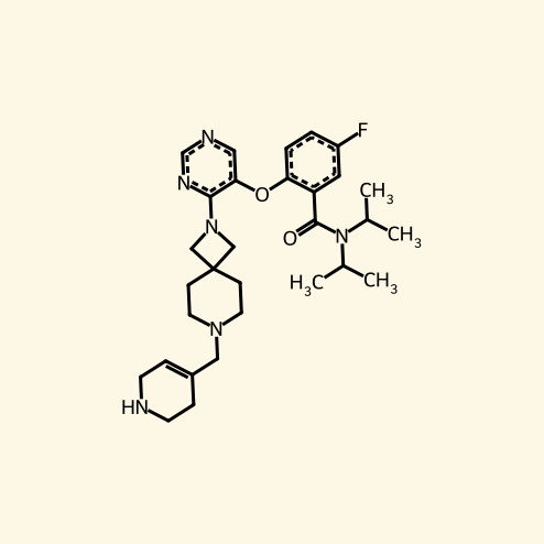 CC(C)N(C(=O)c1cc(F)ccc1Oc1cncnc1N1CC2(CCN(CC3=CCNCC3)CC2)C1)C(C)C